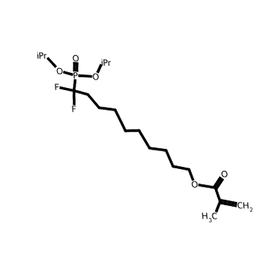 C=C(C)C(=O)OCCCCCCCCCC(F)(F)P(=O)(OC(C)C)OC(C)C